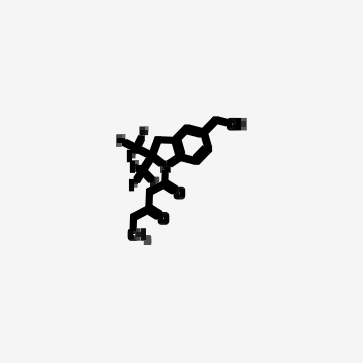 CCC(=O)CC(=O)N1c2ccc(CO)cc2CC1(C(F)(F)F)C(F)(F)F